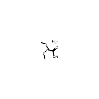 CSN(SC)C(=O)O.Cl